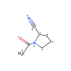 CC(=O)N1CCCC1C#N